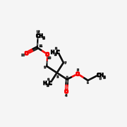 CCOC(=O)C(C)(CC)COC(C)=O